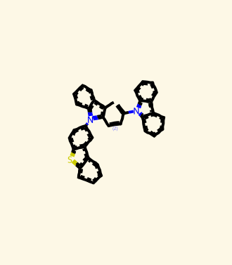 C=C(/C=C\c1c(C)c2ccccc2n1-c1ccc2sc3ccccc3c2c1)n1c2ccccc2c2ccccc21